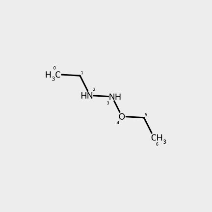 CCNNOCC